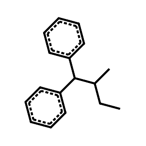 CCC(C)C(c1ccccc1)c1ccccc1